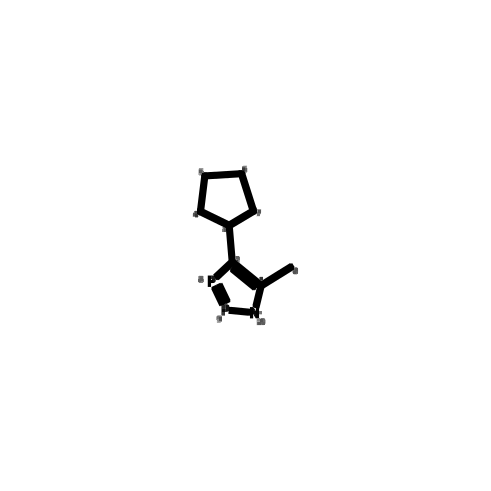 CC1=C(C2CCCC2)P=P[N]1